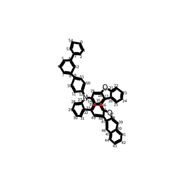 c1ccc(-c2cccc(-c3ccc(N(c4ccc5c(c4)oc4ccccc45)c4ccccc4-c4ccc5oc6cc7ccccc7cc6c5c4)cc3)c2)cc1